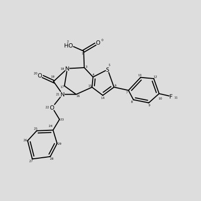 O=C(O)C1c2sc(-c3ccc(F)cc3)cc2C2CN1C(=O)N2OCc1ccccc1